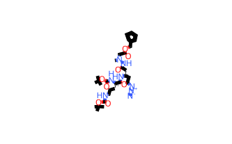 CN(CC(=O)OCc1ccccc1)NC(=O)C[C@H](CCN=[N+]=[N-])NC(=O)[C@H](CCCNC(=O)OC(C)(C)C)NC(=O)OC(C)(C)C